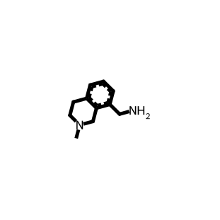 CN1CCc2cccc(CN)c2C1